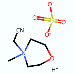 C[N+]1(CC#N)CCOCC1.O=S(=O)([O-])[O-].[H+]